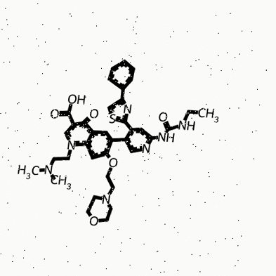 CCNC(=O)Nc1cc(-c2nc(-c3ccccc3)cs2)c(-c2cc3c(=O)c(C(=O)O)cn(CCN(C)C)c3cc2OCCN2CCOCC2)cn1